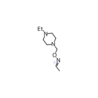 C/C=N/OCN1CCN(CC)CC1